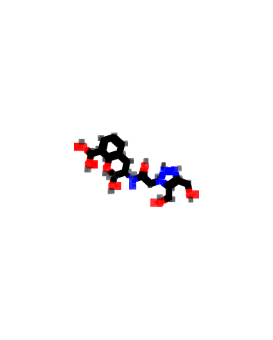 O=C(Cn1nnc(CO)c1CO)N[C@H]1Cc2cccc(C(O)O)c2OB1O